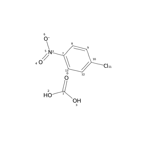 O=C(O)O.O=[N+]([O-])c1ccc(Cl)cc1